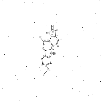 CSc1ccc2c(c1)NC(c1ccc3c(c1C(C)C)CNC3)C2